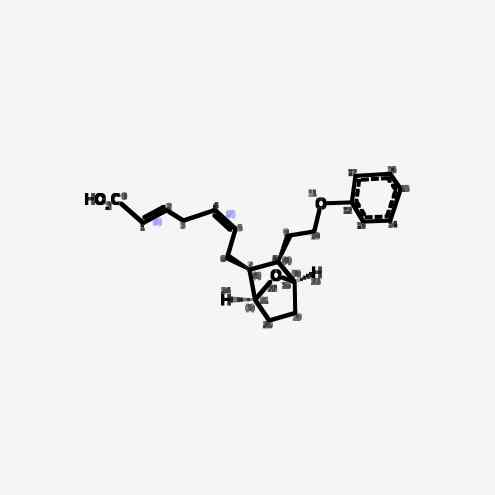 O=C(O)/C=C/C/C=C\C[C@H]1[C@@H](CCOc2ccccc2)[C@H]2CC[C@@H]1O2